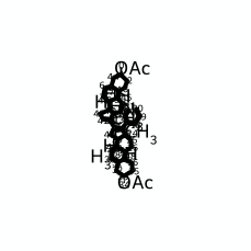 CC(=O)O[C@H]1CC[C@H]2C(=CC[C@@H]3[C@@H]2CC[C@]2(C)C(C4=C(c5cccnc5)[C@@]5(C)CC[C@H]6[C@@H](CC=C7C[C@@H](OC(C)=O)CC[C@@]76C)[C@@H]5C4)=CC[C@@H]32)C1